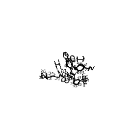 Cc1c(-c2ccnn2-c2ccc(C#N)cc2)n(CC(=O)NCCCN(C)C)c(=O)n1-c1cccc(C(F)(F)F)c1.O=CO